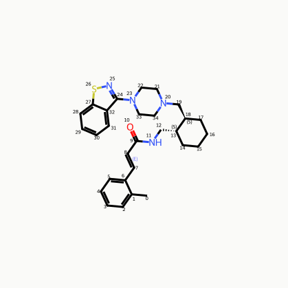 Cc1ccccc1/C=C/C(=O)NC[C@H]1CCCC[C@@H]1CN1CCN(c2nsc3ccccc23)CC1